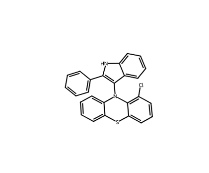 Clc1cccc2c1N(c1c(-c3ccccc3)[nH]c3ccccc13)c1ccccc1S2